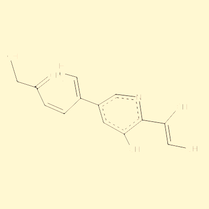 C=C(/C=C\C(=C/C)c1cnc(C(C)=CC)c(C)c1)CC